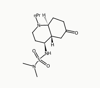 CCCN1CC[C@H](NS(=O)(=O)N(C)C)[C@H]2CC(=O)CC[C@@H]21